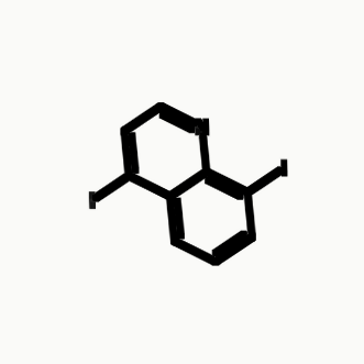 Ic1ccnc2c(I)cccc12